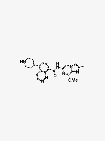 COc1nc(NC(=O)c2ccc(N3CCNCC3)c3ccnnc23)cn2cc(C)nc12